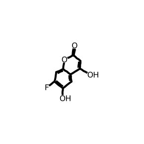 O=c1cc(O)c2cc(O)c(F)cc2o1